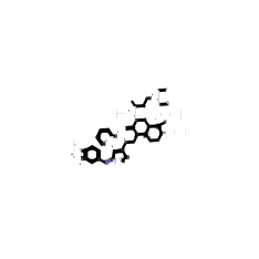 C=C1C(NC(C)C(=O)CN2CCOCC2)CC2[C@](C)(CC[C@@H](O)[C@@]2(C)CO)C1CC(Nc1ccccn1)C1=C/C(=C\c2ccc3c(c2)ncn3C)OC1=O